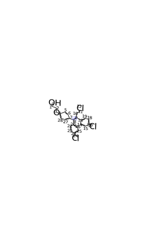 OCCOc1ccc(/C(=C(\CCCl)c2ccc(Cl)cc2)c2ccc(Cl)cc2)cc1